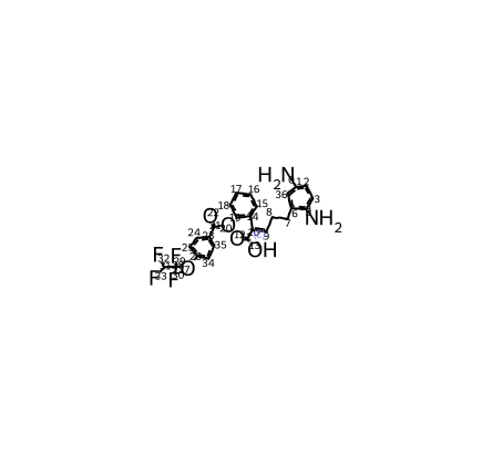 Nc1ccc(N)c(CC/C=C(/C(=O)O)c2ccccc2OC(=O)c2ccc(OC(F)(F)C(F)F)cc2)c1